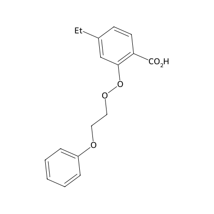 CCc1ccc(C(=O)O)c(OOCCOc2ccccc2)c1